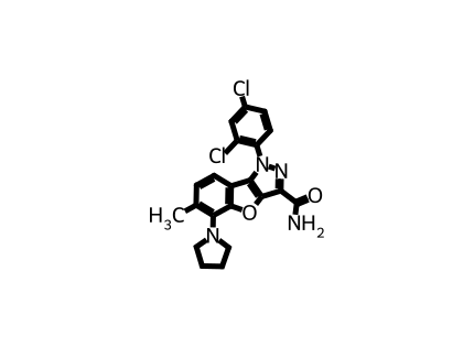 Cc1ccc2c(oc3c(C(N)=O)nn(-c4ccc(Cl)cc4Cl)c32)c1N1CCCC1